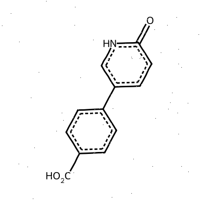 O=C(O)c1ccc(-c2ccc(=O)[nH]c2)cc1